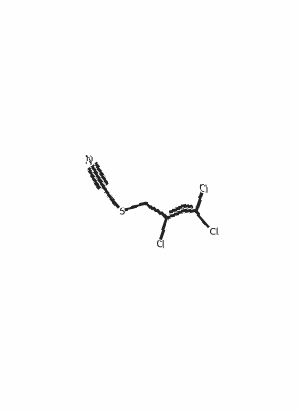 N#CSCC(Cl)=C(Cl)Cl